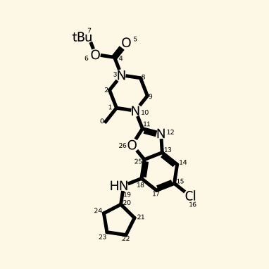 CC1CN(C(=O)OC(C)(C)C)CCN1c1nc2cc(Cl)cc(NC3CCCC3)c2o1